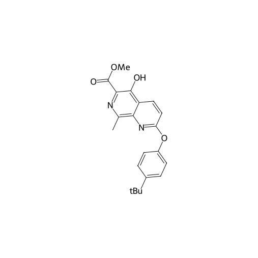 COC(=O)c1nc(C)c2nc(Oc3ccc(C(C)(C)C)cc3)ccc2c1O